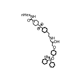 CCCCCCNC(=O)N1CCC(S(=O)(=O)c2ccc(CCNC[C@H](O)COc3ccc(O[Si](c4ccccc4)(c4ccccc4)C(C)(C)C)cc3)cc2)CC1